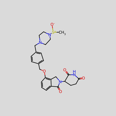 C[S+]([O-])N1CCN(Cc2ccc(COc3cccc4c3CN(C3CCC(=O)NC3=O)C4=O)cc2)CC1